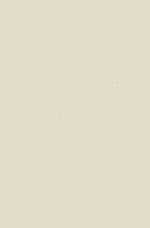 COc1cc(C=C2C(C)=C(CC(=O)NCc3ccsn3)c3cc(F)ccc32)cc(OC)c1O